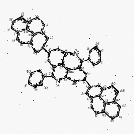 c1ccc(-c2nc3cc(-c4cc5ccc6cccc7ccc(c4)c5c67)cc4c(-c5ccccc5)nc5cc(-c6cc7ccc8cccc9ccc(c6)c7c89)cc2c5c34)cc1